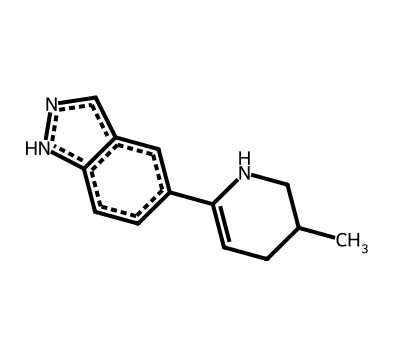 CC1CC=C(c2ccc3[nH]ncc3c2)NC1